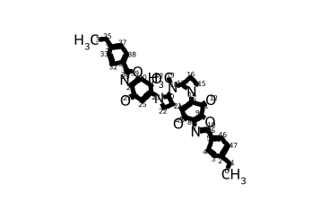 CCc1ccc(-c2nc3c(o2)C(=O)C(N2CCC2N(C)C2CCN2C2=CC(=O)c4nc(-c5ccc(CC)cc5)oc4C2=O)=CC3=O)cc1